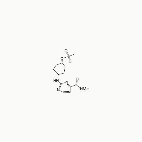 CNC(=O)c1ccnc(N[C@H]2CC[C@H](OS(C)(=O)=O)CC2)n1